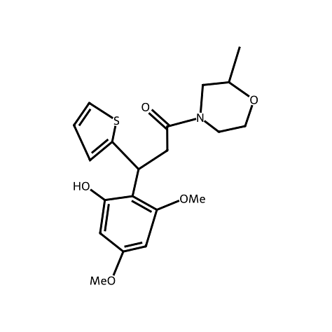 COc1cc(O)c(C(CC(=O)N2CCOC(C)C2)c2cccs2)c(OC)c1